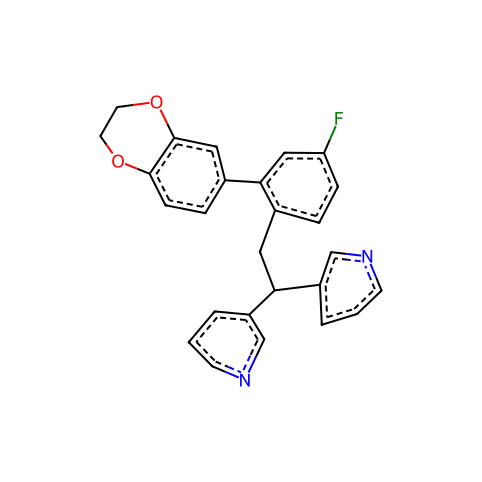 Fc1ccc(CC(c2cccnc2)c2cccnc2)c(-c2ccc3c(c2)OCCO3)c1